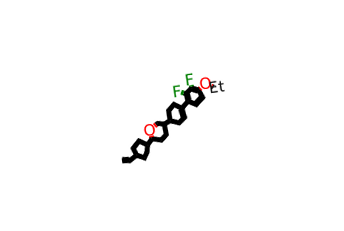 C=CC1CCC(C2CCC(C3CC=C(c4ccc(OCC)c(F)c4F)CC3)CO2)CC1